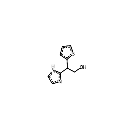 OCC(c1ncc[nH]1)c1cccs1